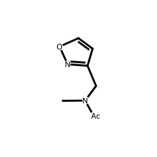 CC(=O)N(C)Cc1ccon1